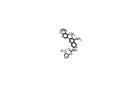 Cc1c(-c2cc3cc(NC(=O)OC4COC[C@@H]4C)ncc3c(N)c2F)cnc2c1NCCO2